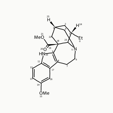 CC[C@H]1C[C@@H]2CN3CCc4c([nH]c5ccc(OC)cc45)[C@](C(=O)OC)(C2)C13